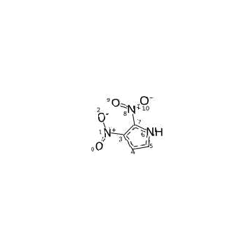 O=[N+]([O-])c1cc[nH]c1[N+](=O)[O-]